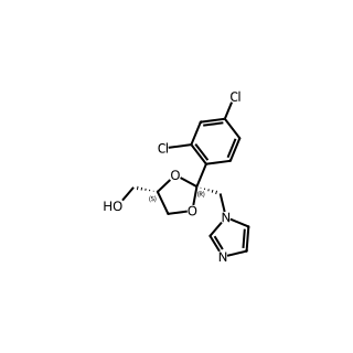 OC[C@H]1CO[C@](Cn2ccnc2)(c2ccc(Cl)cc2Cl)O1